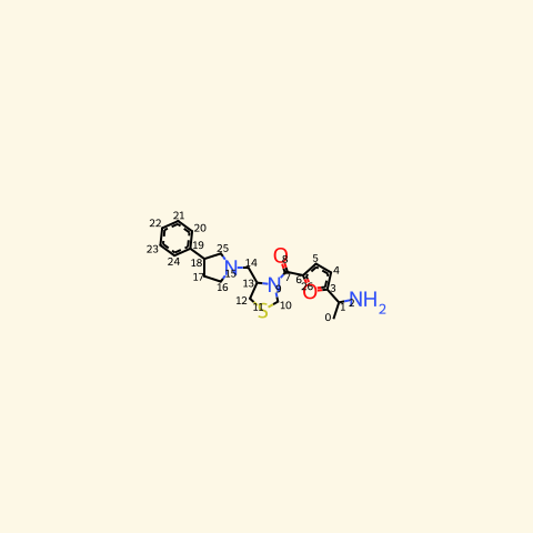 CC(N)c1ccc(C(=O)N2CSCC2CN2CCC(c3ccccc3)C2)o1